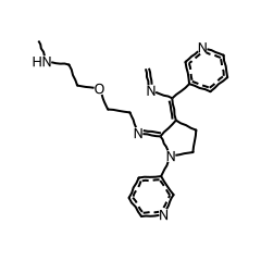 C=N/C(=C1/CCN(c2cccnc2)/C1=N/CCOCCNC)c1cccnc1